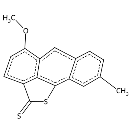 COc1ccc2c3c(c4cc(C)ccc4cc13)SC2=S